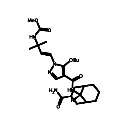 COC(=O)NC(C)(C)/C=C/n1ncc(C(=O)N[C@H]2C3CCCC2C[C@H](C(N)=O)C3)c1OCC(C)C